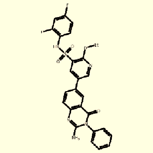 CCOc1ncc(-c2ccc3nc(N)n(-c4ccccc4)c(=O)c3c2)cc1S(=O)(=O)Nc1ccc(F)cc1F